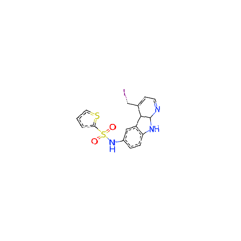 O=S(=O)(Nc1ccc2c(c1)C1C(CI)=CC=NC1N2)c1cccs1